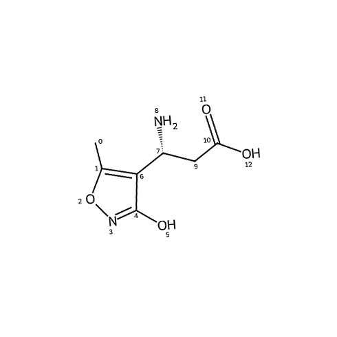 Cc1onc(O)c1[C@H](N)CC(=O)O